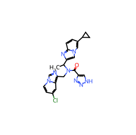 CC(c1cn2cc(C3CC3)ccc2n1)N(Cc1ncn2ccc(Cl)cc12)C(=O)c1c[nH]nn1